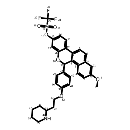 COc1ccc2c3c(ccc2c1)-c1ccc(OS(=O)(=O)C(F)(F)F)cc1OC3c1ccc(OCCC2CCCCN2)cc1